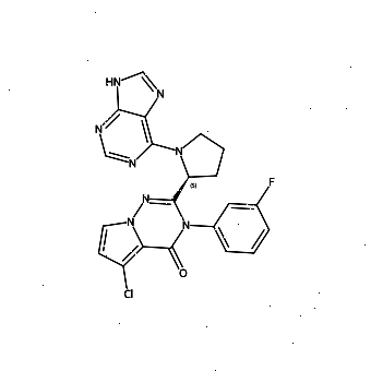 O=c1c2c(Cl)ccn2nc([C@@H]2CCCN2c2ncnc3[nH]cnc23)n1-c1cccc(F)c1